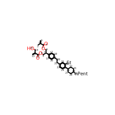 C=C(C)C(=O)OCC(COC(=O)C(=C)CO)c1ccc(CCc2ccc(C3CCC(CCCCC)CC3)c(CC)c2)cc1